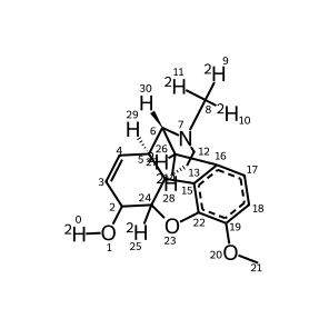 [2H]OC1C=C[C@H]2[C@@H]3N(C([2H])([2H])[2H])CC[C@@]24c2c(ccc(OC)c2OC14[2H])C3([2H])[2H]